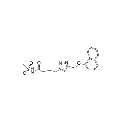 CS(=O)(=O)NC(=O)CCCn1cc(COc2cccc3ccccc23)nn1